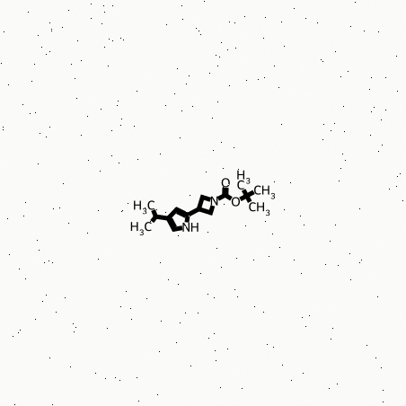 CC(C)c1c[nH]c(C2CN(C(=O)OC(C)(C)C)C2)c1